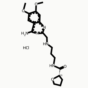 COc1cc2nc(CNCCCNC(=O)[C@@H]3CCCO3)nc(N)c2cc1OC.Cl